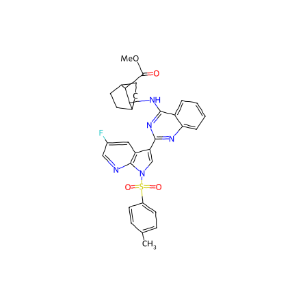 COC(=O)C1C2CCC(CC2)C1Nc1nc(-c2cn(S(=O)(=O)c3ccc(C)cc3)c3ncc(F)cc23)nc2ccccc12